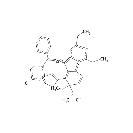 CCc1cc(CC)c2c(c1)=[C]([Zr+2]=[C](c1ccccc1)c1ccccc1)C1=C(C3=CC=CC3)C(CC)(CC)C=CC=21.[Cl-].[Cl-]